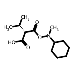 CC(C)[C@@H](C(=O)O)C(=O)ON(C)C1CCCCC1